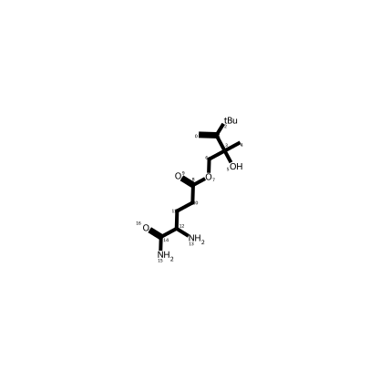 C=C(C(C)(C)C)C(C)(O)COC(=O)CCC(N)C(N)=O